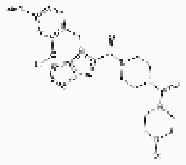 CCOc1cc(OC)ccc1Cn1c(C(=O)N2CCC(C(=O)N3CCN(CC)CC3)CC2)cc2sccc21